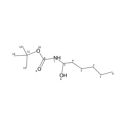 CCCCCC(O)NC(=O)OC(C)(C)C